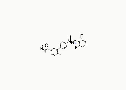 Cc1ccc(-c2nnco2)cc1-c1ccc(N/N=C/c2c(F)cccc2F)cc1